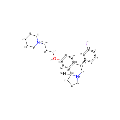 Ic1cccc([C@H]2CN3CCC[C@H]3c3cc(OCCCN4CCCCC4)ccc32)c1